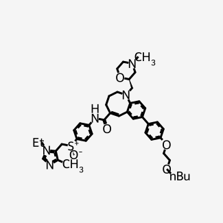 CCCCOCCOc1ccc(-c2ccc3c(c2)/C=C(/C(=O)Nc2ccc([S@+]([O-])Cc4c(C)ncn4CC)cc2)CCCN3C[C@@H]2CN(C)CCO2)cc1